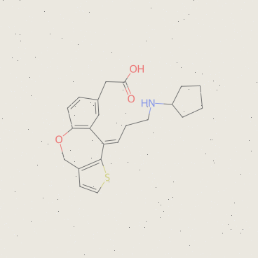 O=C(O)Cc1ccc2c(c1)/C(=C\CCNC1CCCC1)c1sccc1CO2